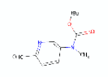 CN(C(=O)OC(C)(C)C)c1ccc(C=O)nc1